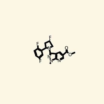 COC(=O)c1cnc2c(c1)c(N1C[C@@H](F)CC1c1cc(F)ccc1F)nn2C